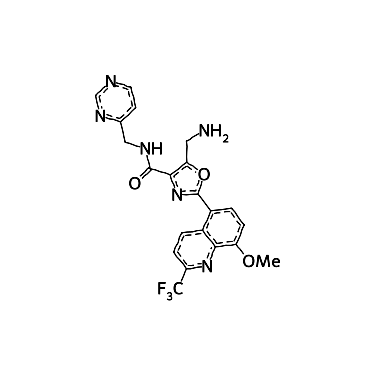 COc1ccc(-c2nc(C(=O)NCc3ccncn3)c(CN)o2)c2ccc(C(F)(F)F)nc12